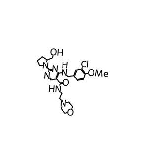 COc1ccc(CNc2nc(N3CCCC3CO)ncc2C(=O)NCCN2CCOCC2)cc1Cl